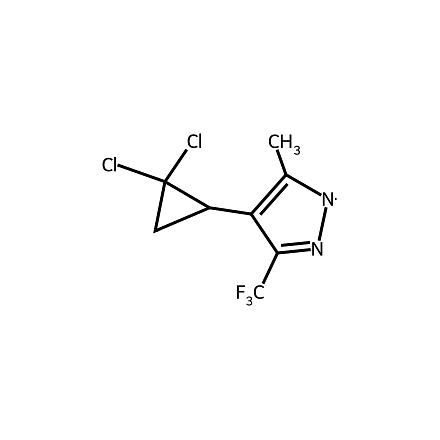 CC1=C(C2CC2(Cl)Cl)C(C(F)(F)F)=N[N]1